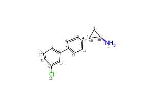 N[C@@H]1C[C@H]1c1ccc(-c2cccc(Cl)c2)cc1